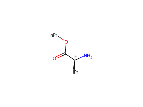 [CH2]CCOC(=O)[C@@H](N)C(C)C